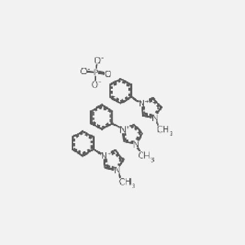 Cn1cc[n+](-c2ccccc2)c1.Cn1cc[n+](-c2ccccc2)c1.Cn1cc[n+](-c2ccccc2)c1.O=P([O-])([O-])[O-]